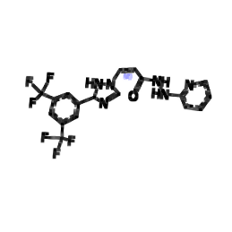 O=C(/C=C\N1C=NC(c2cc(C(F)(F)F)cc(C(F)(F)F)c2)N1)NNc1ccccn1